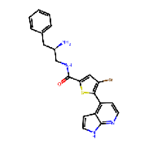 N[C@@H](CNC(=O)c1cc(Br)c(-c2ccnc3[nH]ccc23)s1)Cc1ccccc1